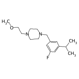 COCCN1CCN(Cc2cc(F)cc(C(C)C)c2)CC1